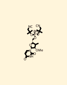 [BH3-][P+](OC[C@H]1O[C@@H](n2ccc(=O)[nH]c2=O)[C@@H](OC)C1C)(OC(C)(C)C[N+]#[C-])OC(C)(C)C[N+]#[C-]